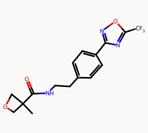 CC1(C(=O)NCCc2ccc(-c3noc(C(F)(F)F)n3)cc2)COC1